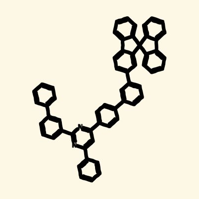 c1ccc(-c2cccc(-c3nc(-c4ccccc4)cc(-c4ccc(-c5cccc(-c6ccc7c(c6)C6(c8ccccc8-c8ccccc86)c6ccccc6-7)c5)cc4)n3)c2)cc1